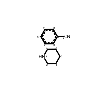 C1CCNCC1.N#Cc1ccccc1